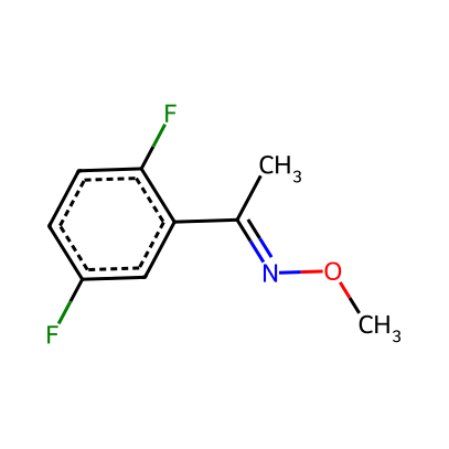 CO/N=C(\C)c1cc(F)ccc1F